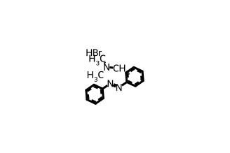 Br.CN(C)C.c1ccc(/N=N/c2ccccc2)cc1